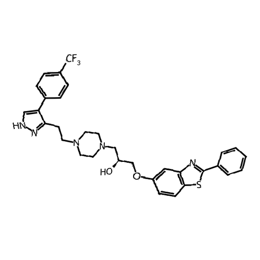 O[C@H](COc1ccc2sc(-c3ccccc3)nc2c1)CN1CCN(CCc2n[nH]cc2-c2ccc(C(F)(F)F)cc2)CC1